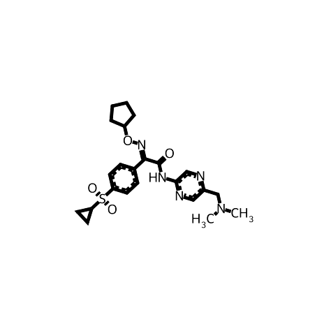 CN(C)Cc1cnc(NC(=O)/C(=N/OC2CCCC2)c2ccc(S(=O)(=O)C3CC3)cc2)cn1